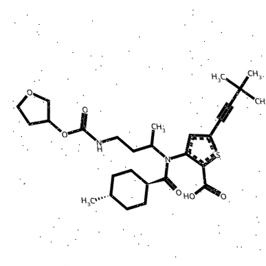 CC(CCNC(=O)OC1CCOC1)N(c1cc(C#CC(C)(C)C)sc1C(=O)O)C(=O)[C@H]1CC[C@H](C)CC1